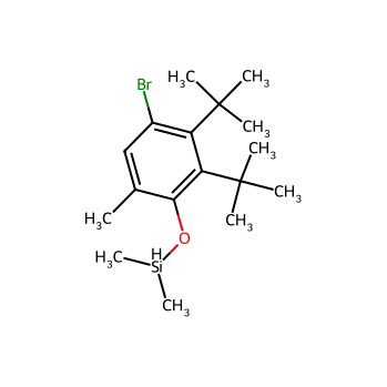 Cc1cc(Br)c(C(C)(C)C)c(C(C)(C)C)c1O[SiH](C)C